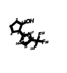 OC1CCCC1c1nc(C(F)(F)F)cs1